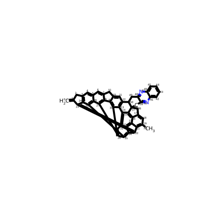 C=C1Cc2cc3cc4c5c6c(cc7c8c9c%10c%11c(cc(C)c%12c%13c1c2c1c3c5c2c(c86)c9c(c%11%12)c%13c12)CC%101Cc2nc3ccccc3nc2CC71)C4